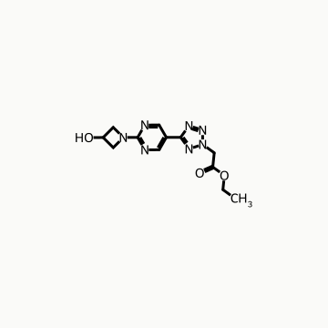 CCOC(=O)Cn1nnc(-c2cnc(N3CC(O)C3)nc2)n1